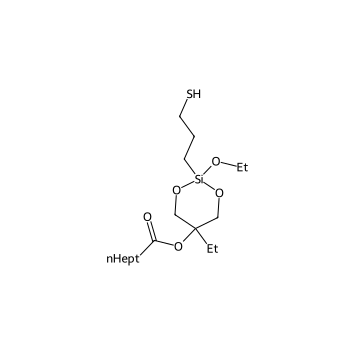 CCCCCCCC(=O)OC1(CC)CO[Si](CCCS)(OCC)OC1